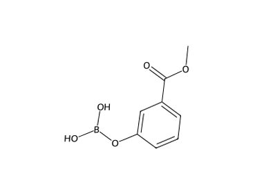 COC(=O)c1cccc(OB(O)O)c1